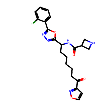 O=C(CCCCCC(NC(=O)C1CNC1)c1nnc(-c2ccccc2F)o1)c1ccon1